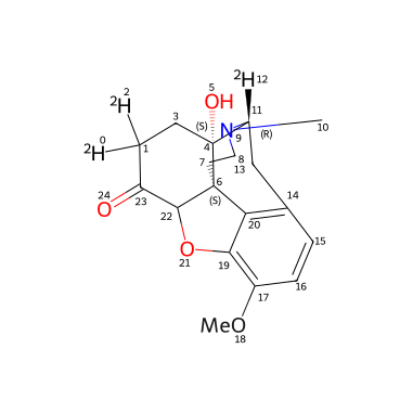 [2H]C1([2H])C[C@]2(O)[C@@]34CCN(C)[C@]2([2H])Cc2ccc(OC)c(c23)OC4C1=O